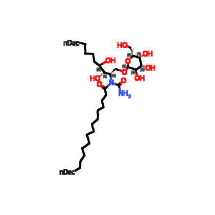 CCCCCCCCCCCCCCCCCCCCCCCC(=O)N(C(N)=O)[C@@H](CO[C@H]1O[C@H](CO)[C@H](O)[C@H](O)[C@H]1O)[C@H](O)[C@H](O)CCCCCCCCCCCCCC